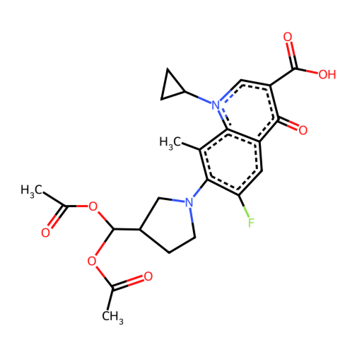 CC(=O)OC(OC(C)=O)C1CCN(c2c(F)cc3c(=O)c(C(=O)O)cn(C4CC4)c3c2C)C1